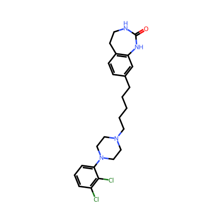 O=C1NCCc2ccc(CCCCCN3CCN(c4cccc(Cl)c4Cl)CC3)cc2N1